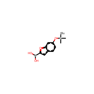 CC(C)(C)[Si](C)(C)Oc1ccc2cc(B(O)O)oc2c1